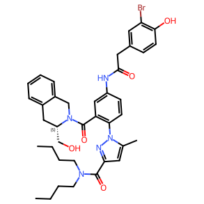 CCCCN(CCCC)C(=O)c1cc(C)n(-c2ccc(NC(=O)Cc3ccc(O)c(Br)c3)cc2C(=O)N2Cc3ccccc3C[C@H]2CO)n1